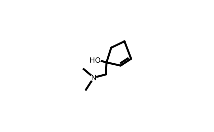 CN(C)CC1(O)C=CCC1